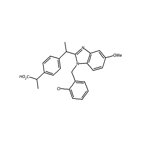 COc1ccc2c(c1)nc(C(C)c1ccc(C(C)C(=O)O)cc1)n2Cc1ccccc1Cl